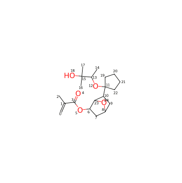 C=C(C)C(=O)OC1CC2CC(C3(OC(C)C(C)(C)O)CCCC3)C1O2